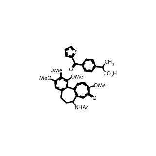 CC(C(=O)O)c1ccc(C(=O)c2cccs2)cc1.COc1cc2c(c(OC)c1OC)-c1ccc(OC)c(=O)cc1[C@@H](NC(C)=O)CC2